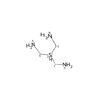 NC[SiH](CN)CN